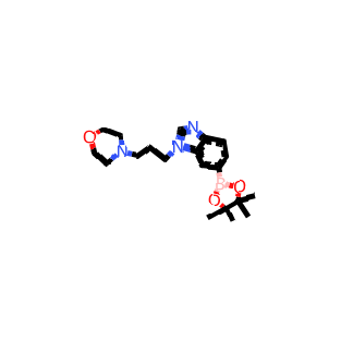 CC1(C)OB(c2ccc3ncn(CCCN4CCOCC4)c3c2)OC1(C)C